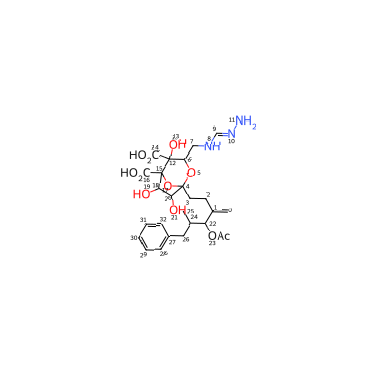 C=C(CCC12OC(CNC=NN)C(O)(C(=O)O)C(C(=O)O)(O1)C(O)C2O)C(OC(C)=O)C(C)Cc1ccccc1